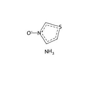 N.[O-][n+]1ccsc1